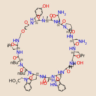 CCCC[C@H]1C(=O)N(C)[C@@H](CCCC)C(=O)N[C@@H](CC(C)C)C(=O)NCCOCC(=O)N[C@@H](Cc2ccc(O)cc2)C(=O)N(C)[C@@H](C)C(=O)N[C@@H](CC(N)=O)C(=O)N2CCC[C@H]2C(=O)N[C@@H](CN)C(=O)N[C@@H](CC(C)C)C(=O)C2N[C@@H](C[C@H]2O)C(=O)N[C@@H](Cc2c[nH]c3ccccc23)C(=O)N[C@@H](CO)C(=O)N[C@@H](Cc2cn(CC(=O)O)c3ccccc23)C(=O)N1C